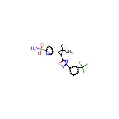 CC1(C)[C@@H](c2ccc(S(N)(=O)=O)nc2)[C@@H]1c1nc(-c2cccc(C(F)(F)F)c2)no1